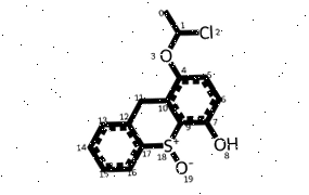 CC(Cl)Oc1ccc(O)c2c1Cc1ccccc1[S+]2[O-]